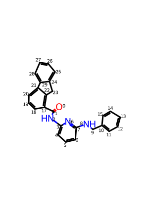 O=C(Nc1cccc(NCc2ccccc2)n1)c1cccc2c1Cc1ccccc1-2